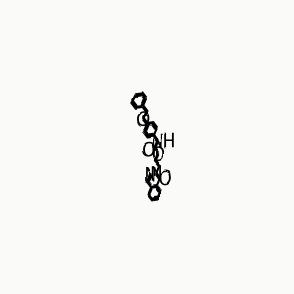 O=C(Nc1ccc(OCc2ccccc2)cc1)OCCn1ncc2ccccc2c1=O